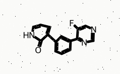 O=c1[nH]cccc1-c1cccc(-c2ncncc2F)c1